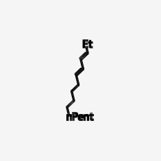 [CH2]CC=CC=CCCCCCCCCC